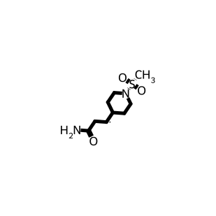 CS(=O)(=O)N1CCC([CH]CC(N)=O)CC1